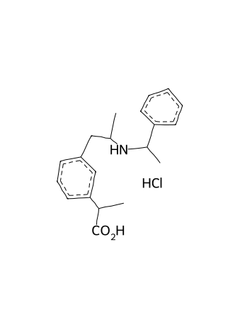 CC(Cc1cccc(C(C)C(=O)O)c1)NC(C)c1ccccc1.Cl